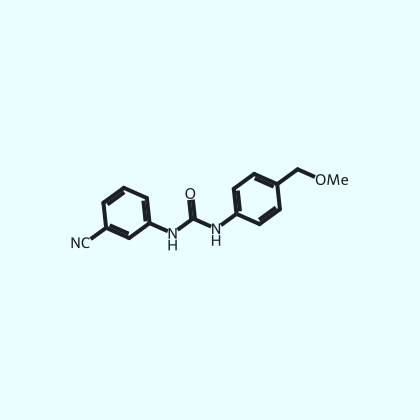 COCc1ccc(NC(=O)Nc2cccc(C#N)c2)cc1